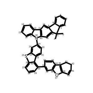 CC1(C)c2ccccc2-c2cc3c4ccccc4n(-c4ccc5c(c4)sc4cccc(-c6ccc7c8c(oc7c6)C=CCC8)c45)c3cc21